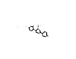 NNc1cc(-c2ccc(C(=O)O)cc2)ccc1-c1ccc(C(=O)O)cc1